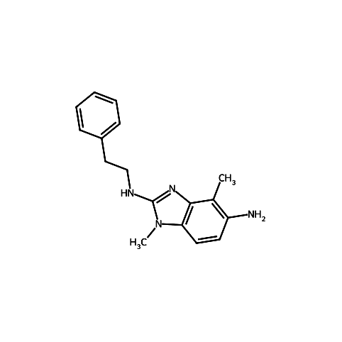 Cc1c(N)ccc2c1nc(NCCc1ccccc1)n2C